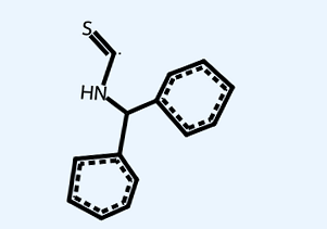 S=[C]NC(c1ccccc1)c1ccccc1